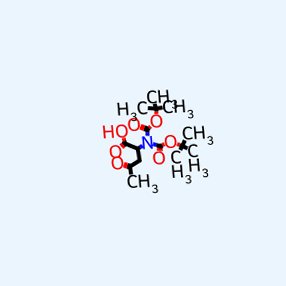 CC(=O)CC(C(=O)O)N(C(=O)OC(C)(C)C)C(=O)OC(C)(C)C